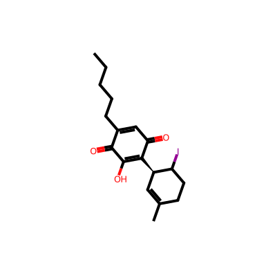 CCCCCC1=CC(=O)C([C@@H]2C=C(C)CCC2I)=C(O)C1=O